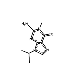 CC(C)n1cnc2c(=O)n(C)c(N)nc21